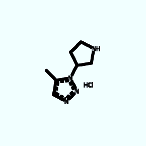 Cc1cnnn1C1CCNC1.Cl